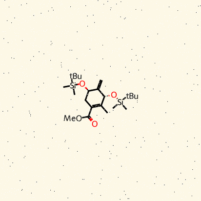 C=C1[C@H](O[Si](C)(C)C(C)(C)C)C(C)=C(C(=O)OC)C[C@H]1O[Si](C)(C)C(C)(C)C